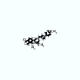 Cc1ccc(-n2cnc(CN3C[C@@H](c4ccc5c(c4C)COC5=O)N[C@@H](C)C3)c2)cn1